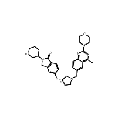 Cc1nc(N2CCOCC2)nc2ccc(CN3CC[C@H](Oc4ccc5c(c4)CN(C4CCCNC4)C5=O)C3)cc12